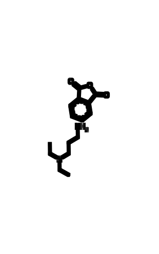 CCN(CC)CCCN.O=C1OC(=O)c2ccccc21